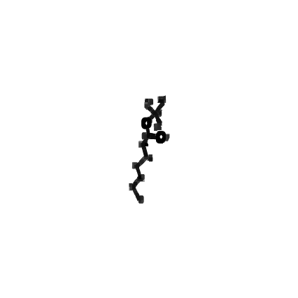 CCCCC[CH]C(=O)OC(C)(C)C